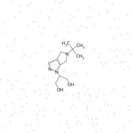 CC(C)(C)N1Cc2cnn(C(CO)CO)c2C1